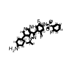 CC(C)n1nc(-c2cc(F)c(NS(=O)(=O)c3ccccc3F)cc2F)c2c(N)ncc(C3=CCC(N)CC3)c21